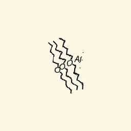 CCCCCCOCCCCCC.CCCCCCOCCCCCC.CCCCCCOCCCCCC.[Al]